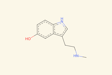 CNCCc1c[nH]c2ccc(O)cc12